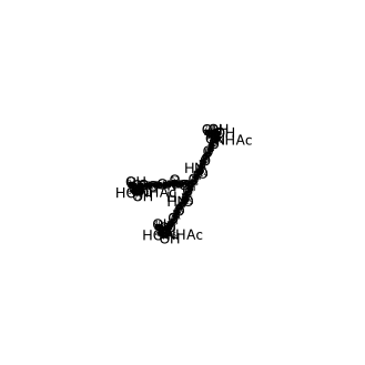 CC(=O)NC1C(OCCOCCOCCNC(=O)CCOCC(COCCC(=O)NCCOCCOCCOC2OC(CO)C(O)C(O)C2NC(C)=O)COCCC(=O)NCCOCCOCCOC2OC(CO)C(O)C(O)C2NC(C)=O)OC(CO)C(O)C1O